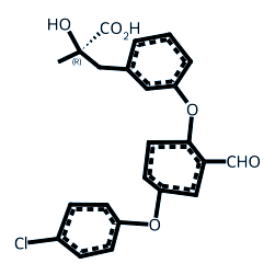 C[C@@](O)(Cc1cccc(Oc2ccc(Oc3ccc(Cl)cc3)cc2C=O)c1)C(=O)O